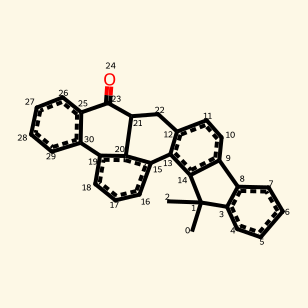 CC1(C)c2ccccc2-c2ccc3c(c21)-c1cccc2c1C(C3)C(=O)c1ccccc1-2